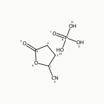 N#CC1CCC(=O)O1.O=P(O)(O)O